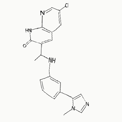 CC(Nc1cccc(-c2cncn2C)c1)c1cc2cc(Cl)cnc2[nH]c1=O